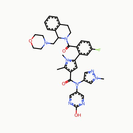 Cc1c(C(=O)N(c2cnc(O)nc2)c2cnn(C)c2)cc(-c2cc(F)ccc2C(=O)N2CCc3ccccc3C2CN2CCOCC2)n1C